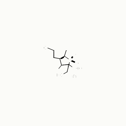 CC1=C(CCCl)C(C)C(C=O)([C@@H](O)C(C)C)S1(=O)=O